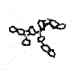 c1ccc(-n2c3cc(N(c4ccc(-c5ccc6ccccc6c5)cc4)c4ccc5sc6cc7ccccc7cc6c5c4)ccc3c3cc4ccccc4cc32)cc1